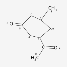 CC(=O)C1CC(=O)CC(C)C1